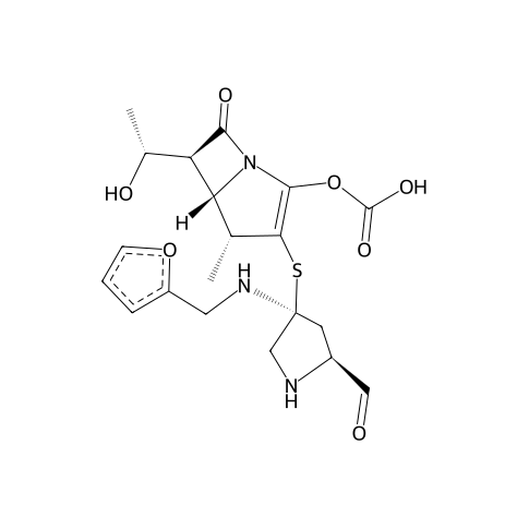 C[C@@H](O)[C@H]1C(=O)N2C(OC(=O)O)=C(S[C@]3(NCc4ccco4)CN[C@H](C=O)C3)[C@H](C)[C@H]12